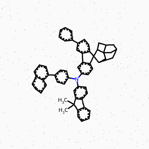 CC1(C)c2ccccc2-c2ccc(N(c3ccc(-c4cccc5ccccc45)cc3)c3ccc4c(c3)-c3cc(-c5ccccc5)ccc3C43C4CC5CC6CC3C6(C5)C4)cc21